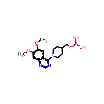 COc1cc2ncnc(N3CCC(COP(O)O)CC3)c2cc1OC